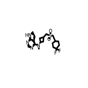 CN(c1ncnc2[nH]ccc12)C1CC(CS(=O)(=O)CC2CCC(F)(F)CC2)C1